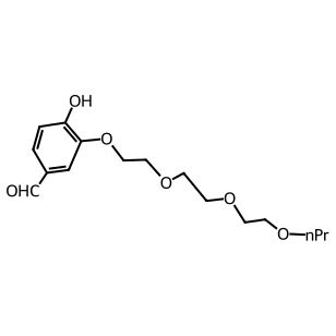 CCCOCCOCCOCCOc1cc(C=O)ccc1O